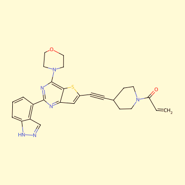 C=CC(=O)N1CCC(C#Cc2cc3nc(-c4cccc5[nH]ncc45)nc(N4CCOCC4)c3s2)CC1